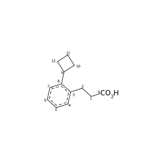 O=C(O)CCc1ccc[c]c1C1CCC1